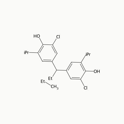 CCC.CCC(c1cc(Cl)c(O)c(C(C)C)c1)c1cc(Cl)c(O)c(C(C)C)c1